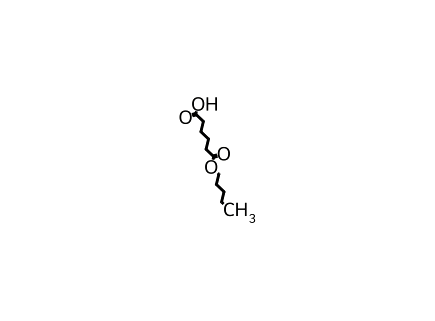 CCCCCOC(=O)CCCCC(=O)O